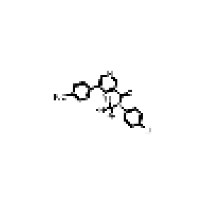 [2H]C([2H])([2H])N(C(=O)c1cncc(-c2ccc(C(F)(F)F)cc2)c1)c1ccc(Cl)cc1